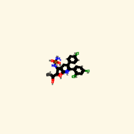 CC(C)(C)C(=O)c1oc2nc(-c3ccc(Cl)cc3Cl)c(-c3ccc(Cl)cc3)cc2c1NS(N)(=O)=O